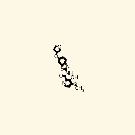 COc1ccnc(C(=O)Nc2nc3ccc(OC4CCOC4)cc3s2)c1O